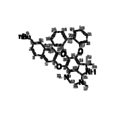 CCCCc1ccc2cc(Oc3c(N(C)C)c4c(c5oc6ccccc6c6ccccc6oc35)C(C)(C)NC4N(C)C)ccc2c1